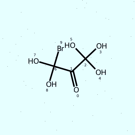 O=C(C(O)(O)O)C(O)(O)Br